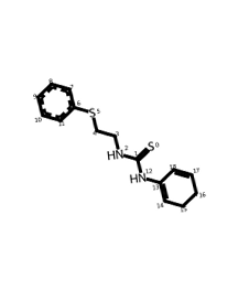 S=C(NCCSc1ccccc1)NC1=CC[CH]C=C1